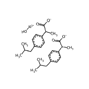 CC(C)Cc1ccc(C(C)C(=O)[O-])cc1.CC(C)Cc1ccc(C(C)C(=O)[O-])cc1.[OH][Al+2]